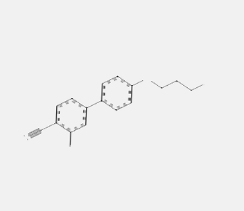 N#Cc1ccc(-c2ccc(OCCCCl)cc2)cc1F